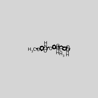 CCOc1ccc2c(c1)OCC(COc1ccc3c(c1)NCC(Cc1cc4c(cc1C)NCCO4)O3)N2